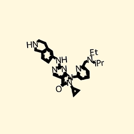 CCN(Cc1cccc(-n2c3nc(Nc4ccc5c(c4)CCNC5)ncc3c(=O)n2C2CC2)n1)C(C)C